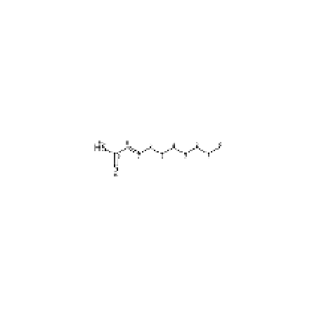 CCCCCCCC=CC(=S)S